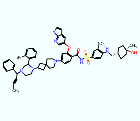 CC#CC(c1ccccc1)N1CCN(C2CC3(CCN(c4ccc(C(=O)NS(=O)(=O)c5ccc(NC[C@H]6CC[C@](C)(O)CC6)c([N+](=O)[O-])c5)c(Oc5cnc6[nH]ccc6c5)c4)CC3)C2)C(c2ccccc2C(C)C)C1